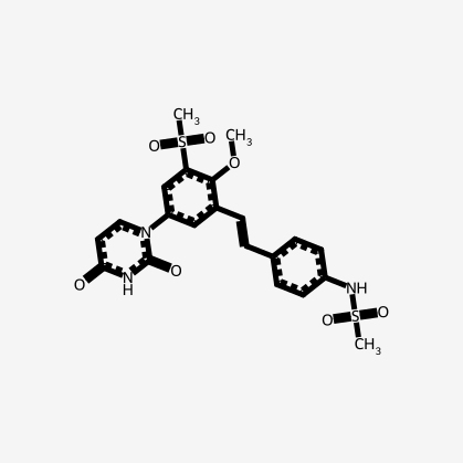 COc1c(C=Cc2ccc(NS(C)(=O)=O)cc2)cc(-n2ccc(=O)[nH]c2=O)cc1S(C)(=O)=O